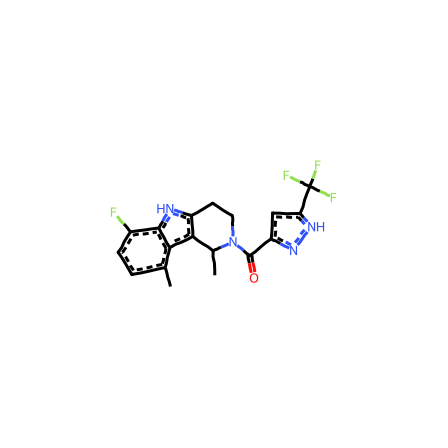 Cc1ccc(F)c2[nH]c3c(c12)C(C)N(C(=O)c1cc(C(F)(F)F)[nH]n1)CC3